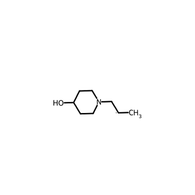 C[CH]CN1CCC(O)CC1